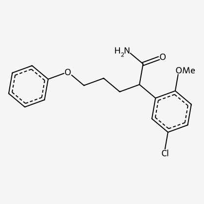 COc1ccc(Cl)cc1C(CCCOc1ccccc1)C(N)=O